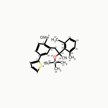 COc1ccc(-c2cccs2)cc1CC(C#N)(O[Si](C)(C)C(C)(C)C)c1c(C)cccc1C